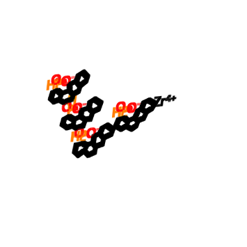 O=[PH]([O-])c1cccc2ccc3cc4ccccc4cc3c12.O=[PH]([O-])c1cccc2ccc3cc4ccccc4cc3c12.O=[PH]([O-])c1cccc2ccc3cc4ccccc4cc3c12.O=[PH]([O-])c1cccc2ccc3cc4ccccc4cc3c12.[Zr+4]